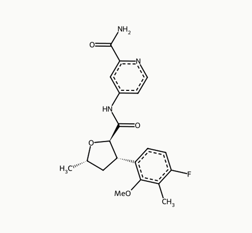 COc1c([C@@H]2C[C@H](C)O[C@H]2C(=O)Nc2ccnc(C(N)=O)c2)ccc(F)c1C